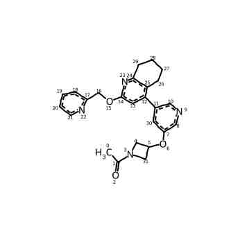 CC(=O)N1CC(Oc2cncc(-c3cc(OCc4ccccn4)nc4c3CCCC4)c2)C1